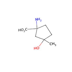 CC1(O)CCC(N)(C(=O)O)C1